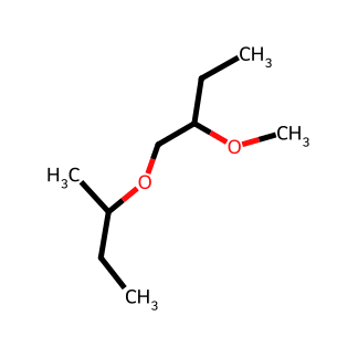 CCC(C)OCC(CC)OC